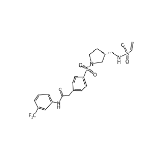 C=CS(=O)(=O)NC[C@H]1CCN(S(=O)(=O)c2ccc(CC(=O)Nc3cccc(C(F)(F)F)c3)cc2)C1